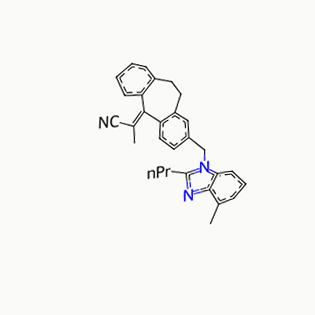 CCCc1nc2c(C)cccc2n1Cc1ccc2c(c1)CCc1ccccc1C2=C(C)C#N